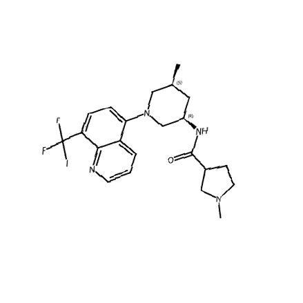 C[C@H]1C[C@@H](NC(=O)C2CCN(C)C2)CN(c2ccc(C(F)(F)I)c3ncccc23)C1